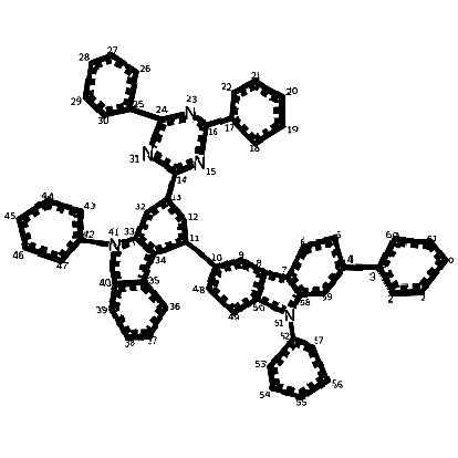 c1ccc(-c2ccc3c4cc(-c5cc(-c6nc(-c7ccccc7)nc(-c7ccccc7)n6)cc6c5c5ccccc5n6-c5ccccc5)ccc4n(-c4ccccc4)c3c2)cc1